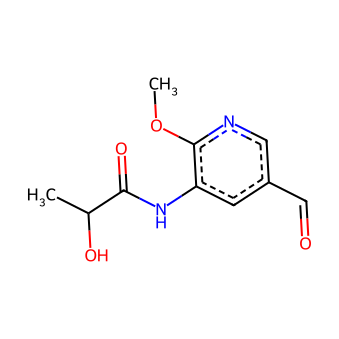 COc1ncc(C=O)cc1NC(=O)C(C)O